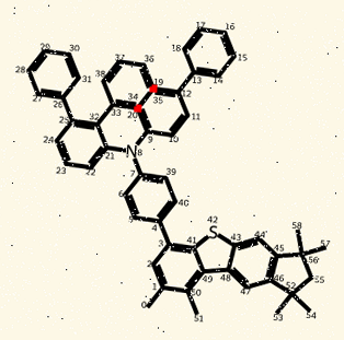 Cc1cc(-c2ccc(N(c3ccc(-c4ccccc4)cc3)c3cccc(-c4ccccc4)c3-c3ccccc3)cc2)c2sc3cc4c(cc3c2c1C)C(C)(C)CC4(C)C